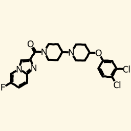 O=C(c1cn2cc(F)ccc2n1)N1CCC(N2CCC(Oc3ccc(Cl)c(Cl)c3)CC2)CC1